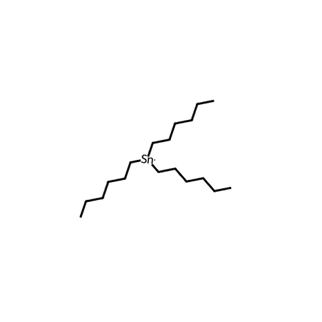 CCCCC[CH2][Sn]([CH2]CCCCC)[CH2]CCCCC